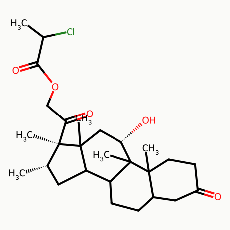 CC(Cl)C(=O)OCC(=O)[C@]1(C)[C@@H](C)CC2C3CCC4CC(=O)CCC4(C)C3(C)[C@@H](O)CC21C